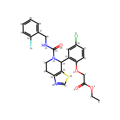 CCOC(=O)COc1ccc(Cl)cc1C1c2scnc2CCN1C(=O)NCc1ccccc1F